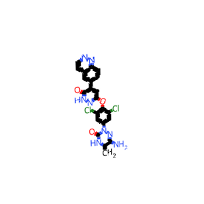 C=C1NC(=O)N(c2cc(Cl)c(Oc3cc(-c4ccc5nnccc5c4)c(=O)[nH]n3)c(Cl)c2)N=C1N